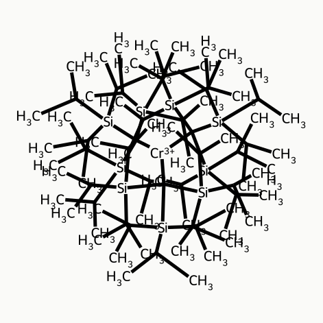 CC(C)[Si](C(C)C)(C(C)C)[C]([Cr+3]([C]([Si](C(C)C)(C(C)C)C(C)C)([Si](C(C)C)(C(C)C)C(C)C)[Si](C(C)C)(C(C)C)C(C)C)[C]([Si](C(C)C)(C(C)C)C(C)C)([Si](C(C)C)(C(C)C)C(C)C)[Si](C(C)C)(C(C)C)C(C)C)([Si](C(C)C)(C(C)C)C(C)C)[Si](C(C)C)(C(C)C)C(C)C